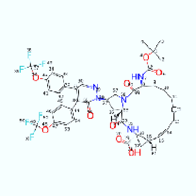 CC(C)(C)OC(=O)N[C@H]1CCCCC/C=C\[C@@H]2C[C@@]2(C(=O)O)NC(=O)[C@@H]2C[C@@H](n3ncc(-c4ccc(OC(F)(F)F)cc4)c(-c4ccc(OC(F)(F)F)cc4)c3=O)CN2C1=O